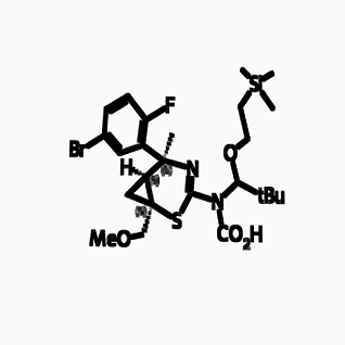 COC[C@]12C[C@H]1[C@@](C)(c1cc(Br)ccc1F)N=C(N(C(=O)O)C(OCC[Si](C)(C)C)C(C)(C)C)S2